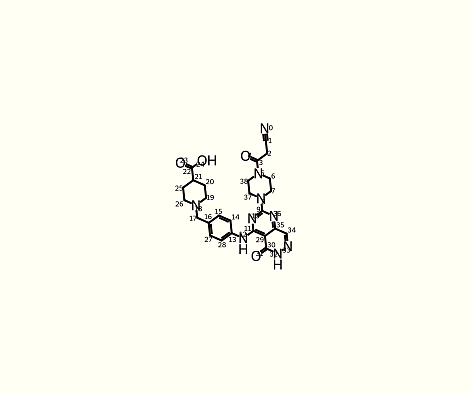 N#CCC(=O)N1CCN(c2nc(Nc3ccc(CN4CCC(C(=O)O)CC4)cc3)c3c(=O)[nH]ncc3n2)CC1